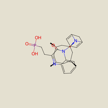 C[C@H]1C[C@@H](C)C[C@@H](N2C3=CC(n4c(=O)c(CCP(=O)(O)O)nc5ccccc54)C=C2C3)C[C@@H](C)C1